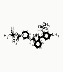 Cc1ccc(-c2nnc(NC3CCCN(C(=O)OC(C)(C)C)C3)c3ccccc23)c(NS(C)(=O)=O)c1